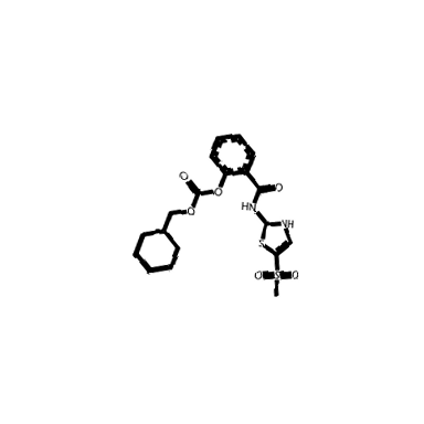 CS(=O)(=O)C1=CNC(NC(=O)c2ccccc2OC(=O)OCC2CCCCC2)S1